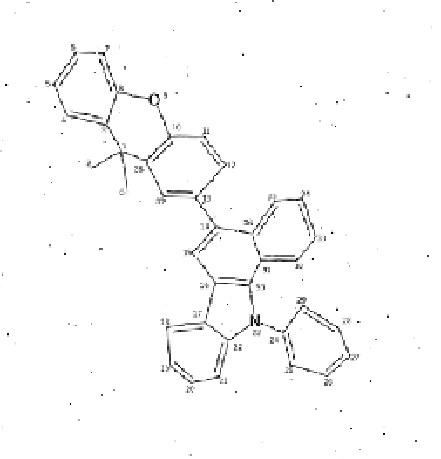 CC1(C)c2ccccc2Oc2ccc(-c3cc4c5ccccc5n(-c5ccccc5)c4c4ccccc34)cc21